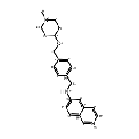 CN1CCC(OCc2ccc(CNc3ccc4cnccc4c3)cc2)CC1